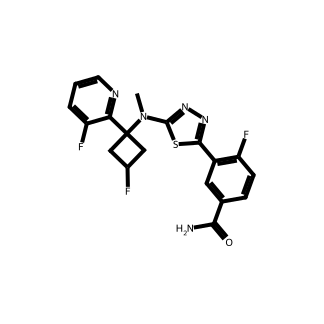 CN(c1nnc(-c2cc(C(N)=O)ccc2F)s1)C1(c2ncccc2F)CC(F)C1